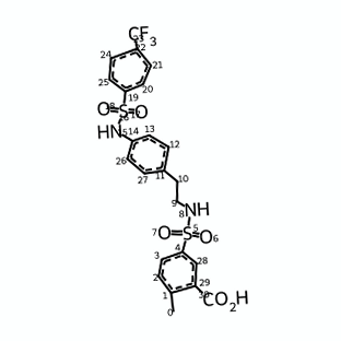 Cc1ccc(S(=O)(=O)NCCc2ccc(NS(=O)(=O)c3ccc(C(F)(F)F)cc3)cc2)cc1C(=O)O